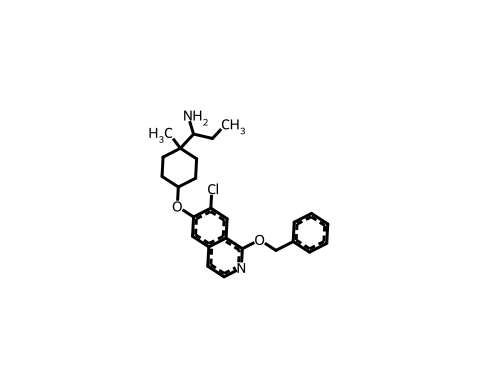 CCC(N)C1(C)CCC(Oc2cc3ccnc(OCc4ccccc4)c3cc2Cl)CC1